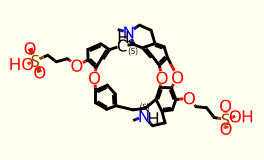 CN1CCc2cc3c4cc2[C@@H]1Cc1ccc(OCCCS(=O)(=O)O)c(c1)Oc1ccc(cc1)C[C@H]1c2c(cc(OCCCS(=O)(=O)O)c(c2O4)O3)CCN1C